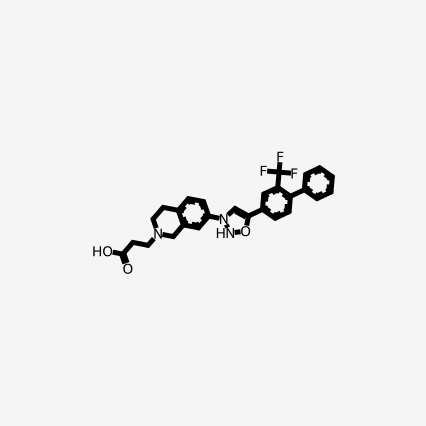 O=C(O)CCN1CCc2ccc(N3C=C(c4ccc(-c5ccccc5)c(C(F)(F)F)c4)ON3)cc2C1